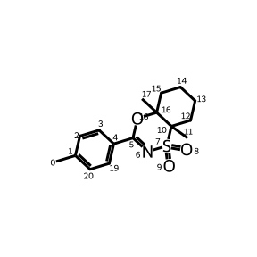 Cc1ccc(C2=NS(=O)(=O)C3(C)CCCCC3(C)O2)cc1